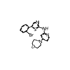 Brc1ccccc1-c1cnc(Nc2cc(N3CCOCC3)ccn2)s1